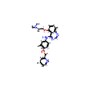 Cc1cc(Nc2ncnc3cccc(OCCN(C)C)c23)ccc1OCc1ccccn1